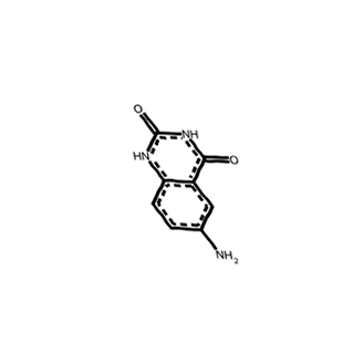 Nc1ccc2[nH]c(=O)[nH]c(=O)c2c1